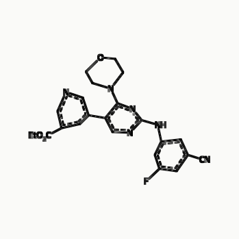 CCOC(=O)c1cncc(-c2cnc(Nc3cc(F)cc(C#N)c3)nc2N2CCOCC2)c1